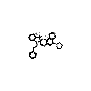 CC1(C)c2ccccc2N(CCc2ccccc2)C12C=Nc1cc(N3CCCC3)c3cnccc3c1O2